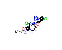 COC(=O)Nc1ccc2c(c1)NCCCCC[C@H](NC(=O)/C=C/c1cc(Cl)ccc1-n1cnnn1)c1nc-2c(Cl)[nH]1